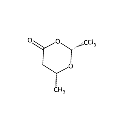 C[C@@H]1CC(=O)O[C@H](C(Cl)(Cl)Cl)O1